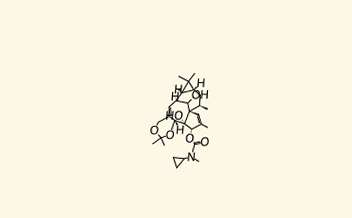 CC1=C[C@]23C(O)[C@@H](C=C4COC(C)(C)O[C@H]4[C@]2(O)[C@H]1OC(=O)N(C)C1CC1)[C@H]1[C@@H](C[C@H]3C)C1(C)C